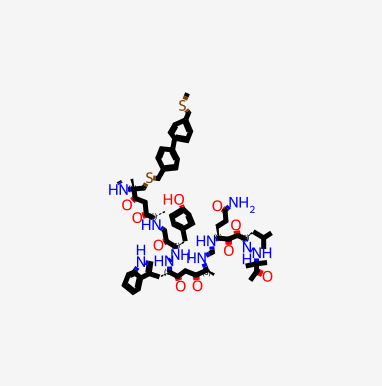 CN[C@](C)(CSCc1ccc(-c2ccc(CSC)cc2)cc1)C(=O)CC(=O)[C@H](C)NCC(=O)[C@H](Cc1ccc(O)cc1)NN[C@@H](Cc1c[nH]c2ccccc12)C(=O)CC(=O)[C@H](C)NCN[C@@H](CCC(N)=O)C(=O)C(=O)[C@H](CC(C)C)NNC(C)(C)C(C)=O